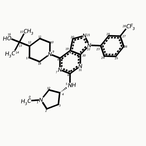 CN1CC[C@@H](Nc2nc(N3CCC(C(C)(C)O)CC3)c3cnn(-c4cccc(C(F)(F)F)c4)c3n2)C1